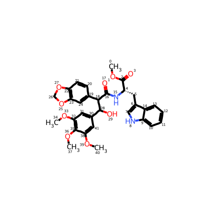 COC(=O)[C@H](Cc1c[nH]c2ccccc12)NC(=O)C(c1ccc2c(c1)OCO2)C(O)c1cc(OC)c(OC)c(OC)c1